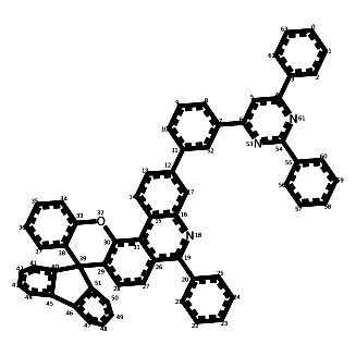 c1ccc(-c2cc(-c3cccc(-c4ccc5c(c4)nc(-c4ccccc4)c4ccc6c(c45)Oc4ccccc4C64c5ccccc5-c5ccccc54)c3)nc(-c3ccccc3)n2)cc1